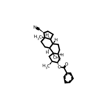 C[C@H]1C[C@@]2(C)[C@@H](CC[C@@H]3[C@@H]2CC[C@]2(C)[C@@H](C#N)CC[C@@H]32)C[C@@H]1OC(=O)c1ccccc1